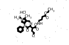 CCOC(=O)CCCNOC(=O)C(CC=O)C1N=Cc2c(cn(C)c2C)N(c2ccccc2)C1=O.Cl